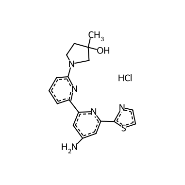 CC1(O)CCN(c2cccc(-c3cc(N)cc(-c4nccs4)n3)n2)C1.Cl